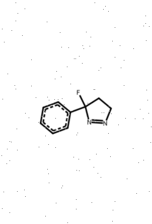 FC1(c2ccccc2)CCN=N1